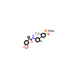 CNS(=O)(=O)c1ccc(-c2cc(NC(=O)C3(c4ccc5c(c4)OCO5)CC3)ccc2C)c(C(F)(F)F)c1